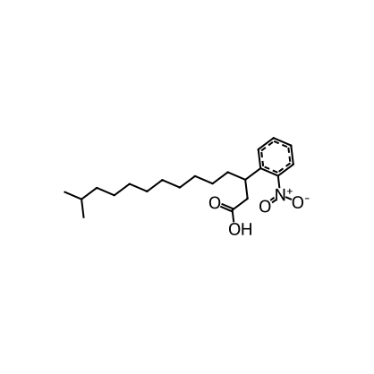 CC(C)CCCCCCCCCC(CC(=O)O)c1ccccc1[N+](=O)[O-]